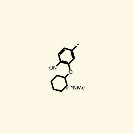 CN[C@@H]1CCCCC1Oc1cc(F)ccc1N=O